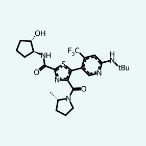 C[C@H]1CCCN1C(=O)c1nc(C(=O)N[C@H]2CCC[C@@H]2O)sc1-c1cnc(NC(C)(C)C)cc1C(F)(F)F